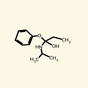 CCC(O)(NC(C)C)Oc1ccccc1